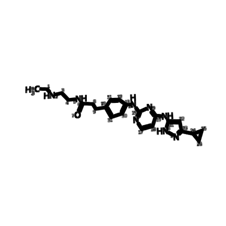 CCNCCNC(=O)CCc1ccc(Nc2nccc(Nc3cc(C4CC4)n[nH]3)n2)cc1